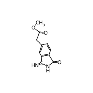 COC(=O)Cc1ccc2c(c1)S(=N)NC2=O